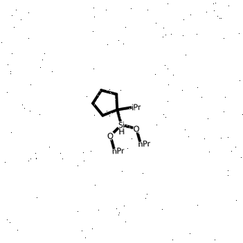 CCCO[SiH](OCCC)C1(C(C)C)CCCC1